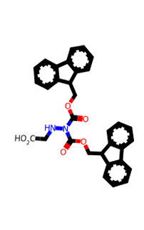 O=C(O)CNN(C(=O)OCC1c2ccccc2-c2ccccc21)C(=O)OCC1c2ccccc2-c2ccccc21